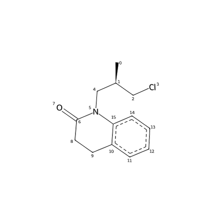 C[C@@H](CCl)CN1C(=O)CCc2ccccc21